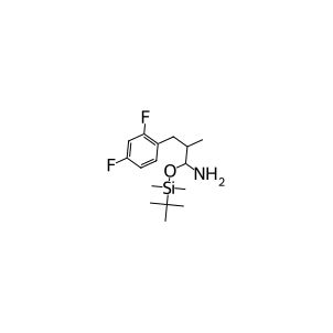 CC(Cc1ccc(F)cc1F)C(N)O[Si](C)(C)C(C)(C)C